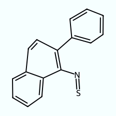 S=Nc1c(-c2ccccc2)ccc2ccccc12